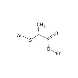 CCOC(=O)C(C)SC(C)=O